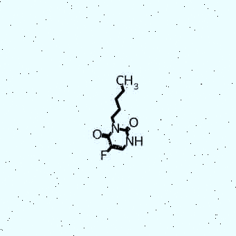 CCCCCn1c(=O)[nH]cc(F)c1=O